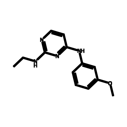 CCNc1nccc(Nc2cccc(OC)c2)n1